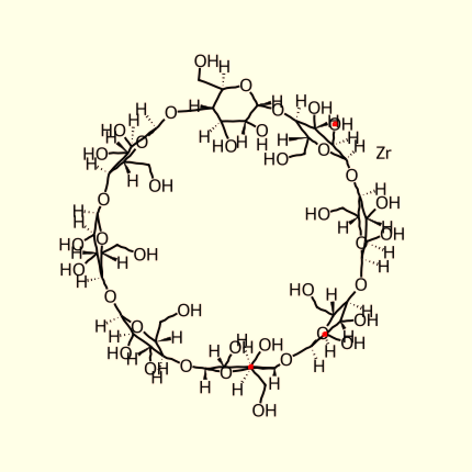 OC[C@H]1O[C@@H]2O[C@H]3[C@H](O)[C@@H](O)[C@@H](O[C@H]4[C@H](O)[C@@H](O)[C@@H](O[C@H]5[C@H](O)[C@@H](O)[C@@H](O[C@H]6[C@H](O)[C@@H](O)[C@@H](O[C@H]7[C@H](O)[C@@H](O)[C@@H](O[C@H]8[C@H](O)[C@@H](O)[C@@H](O[C@H]9[C@H](O)[C@@H](O)[C@@H](O[C@H]1[C@H](O)[C@H]2O)O[C@@H]9CO)O[C@@H]8CO)O[C@@H]7CO)O[C@@H]6CO)O[C@@H]5CO)O[C@@H]4CO)O[C@@H]3CO.[Zr]